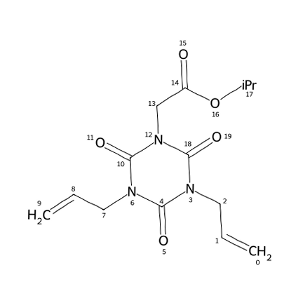 C=CCn1c(=O)n(CC=C)c(=O)n(CC(=O)OC(C)C)c1=O